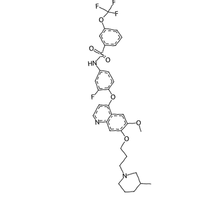 COc1cc2c(Oc3ccc(NS(=O)(=O)c4cccc(OC(F)(F)F)c4)cc3F)ccnc2cc1OCCCN1CCCC(C)C1